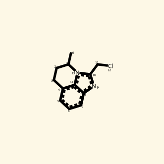 CC1CCc2cccc3nc(CCl)n1c23